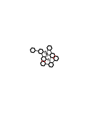 c1ccc(-c2ccc3c(c2)-c2cccc4c2B2c5c(cccc5N4c4c(-c5ccccc5)cccc4-c4ccccc4)-c4ccccc4N23)cc1